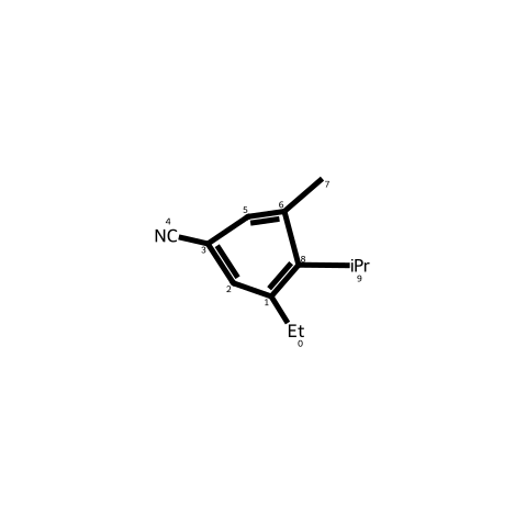 CCc1cc(C#N)cc(C)c1C(C)C